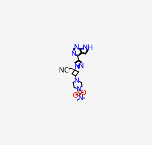 CN(C)S(=O)(=O)N1CCN([C@H]2C[C@](CC#N)(n3cc(-c4ncnc5[nH]ccc45)cn3)C2)CC1